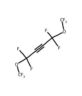 FC(F)(F)OC(F)(F)C#CC(F)(F)OC(F)(F)F